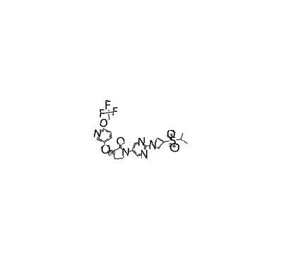 CC(C)S(=O)(=O)C1CN(c2ncc(N3CC[C@@H](Oc4ccc(OCC(F)(F)F)nc4)C3=O)cn2)C1